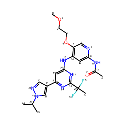 COCCOc1cnc(NC(C)=O)cc1Nc1cc(-c2cnn(C(C)C)c2)nc(C(C)(F)F)n1